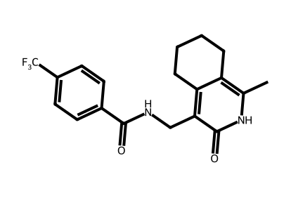 Cc1[nH]c(=O)c(CNC(=O)c2ccc(C(F)(F)F)cc2)c2c1CCCC2